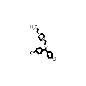 C=CCN1CCN(CCOC(c2ccc(Cl)cc2)c2ccc(Cl)cc2)CC1